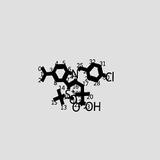 CC(C)c1ccc2c(c1)c([S+]([O-])C(C)(C)C)c(CC(C)(C)C(=O)O)n2Cc1ccc(Cl)cc1